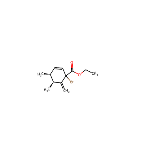 C=C1[C@@H](C)[C@@H](C)C=CC1(Br)C(=O)OCC